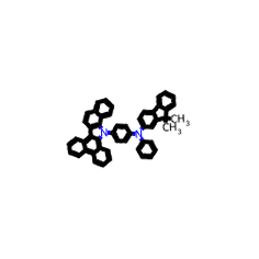 CC1(C)c2ccccc2-c2ccc(N(c3ccccc3)c3ccc(-n4c5c6ccccc6ccc5c5c6ccccc6c6ccccc6c54)cc3)cc21